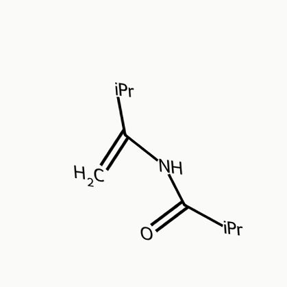 C=C(NC(=O)C(C)C)C(C)C